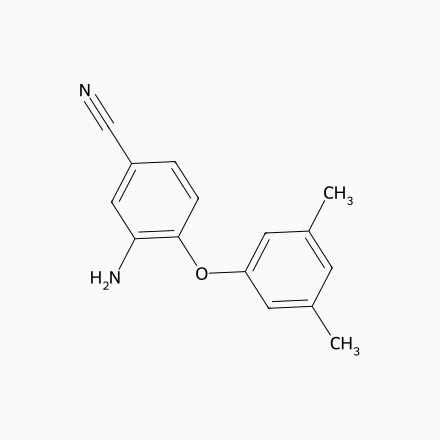 Cc1cc(C)cc(Oc2ccc(C#N)cc2N)c1